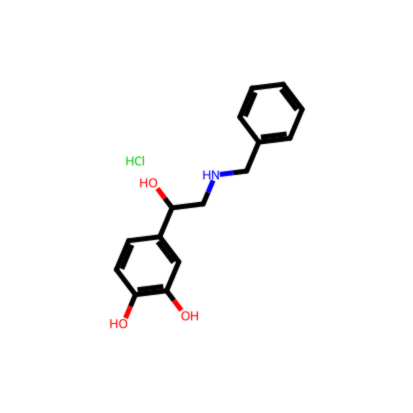 Cl.Oc1ccc(C(O)CNCc2ccccc2)cc1O